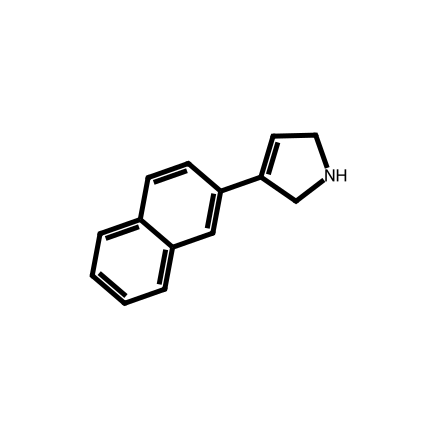 C1=C(c2ccc3ccccc3c2)CNC1